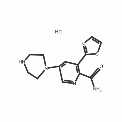 Cl.NC(=O)c1ncc(N2CCNCC2)cc1-c1nccs1